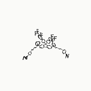 N#Cc1ccc(C=CC=CC(=O)c2ccc3c(c2)C(c2ccc(OC(F)=C(F)F)cc2)(c2ccc(OC(F)=C(F)F)cc2)c2cc(C(=O)C=CC=Cc4ccc(C#N)cc4)ccc2-3)cc1